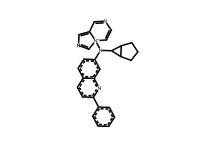 C1=C[N+]2(N(c3ccc4ccc(-c5ccccc5)nc4c3)C3C4CCCC43)C=NC=C2C=N1